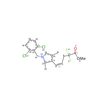 COC(=O)C(F)(F)C/C=C\c1c(C)cn(Cc2c(Cl)cccc2Cl)c1C